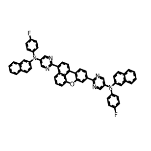 Fc1ccc(N(c2cnc(-c3ccc4c(c3)Oc3cccc5c(-c6ncc(N(c7ccc(F)cc7)c7ccc8ccccc8c7)cn6)ccc-4c35)nc2)c2ccc3ccccc3c2)cc1